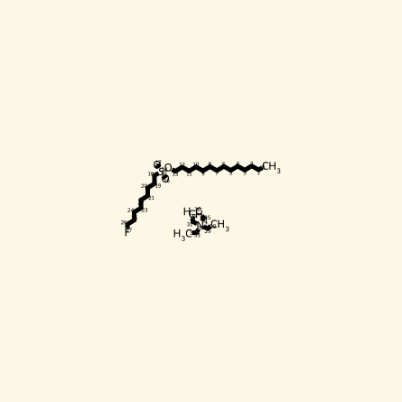 CCCCCCCCCCCCCCOS(=O)(=O)CCCCCCCCCF.CC[N+](CC)(CC)CC